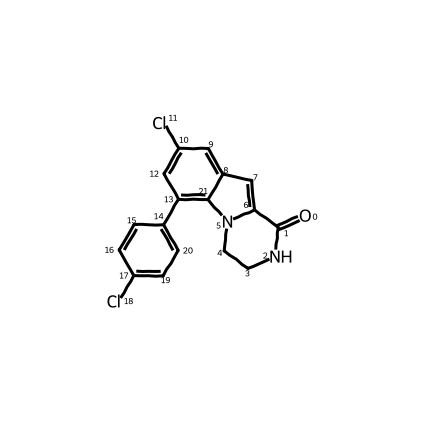 O=C1NCCn2c1cc1cc(Cl)cc(-c3ccc(Cl)cc3)c12